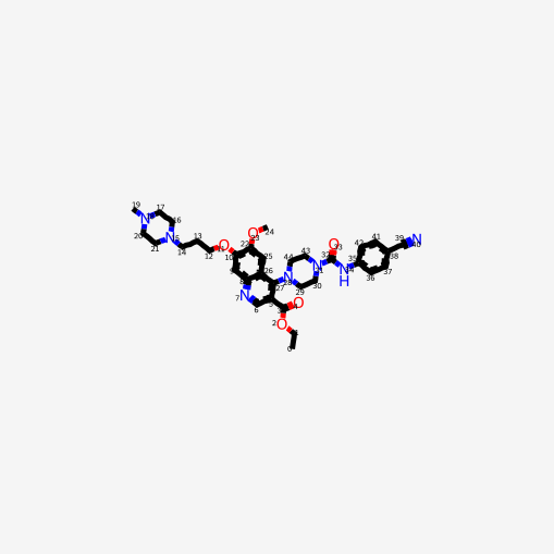 CCOC(=O)c1cnc2cc(OCCCN3CCN(C)CC3)c(OC)cc2c1N1CCN(C(=O)Nc2ccc(C#N)cc2)CC1